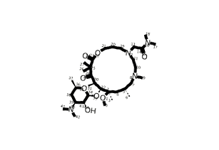 CO[C@]1(C)C[C@@H](C)CN(C)CCN(CC(=O)N(C)C)CCCOC(=O)C(C)(C)C(=O)[C@H](C)[C@H]1O[C@@H]1O[C@H](C)C[C@H](N(C)C)[C@H]1O